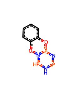 c1ccc2op3np[nH][pH]n3oc2c1